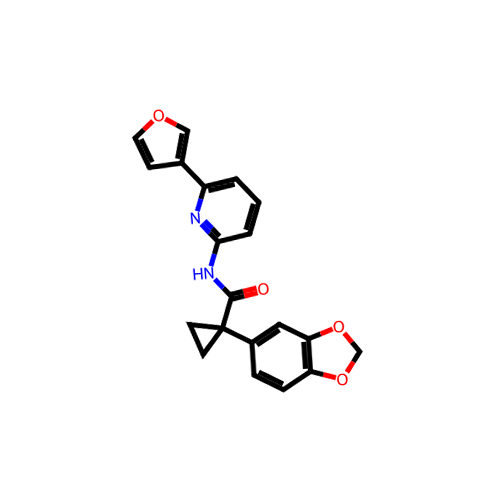 O=C(Nc1cccc(-c2ccoc2)n1)C1(c2ccc3c(c2)OCO3)CC1